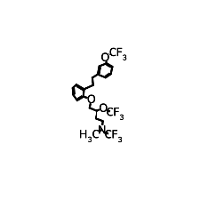 CN(CC[C@@H](COc1ccccc1CCc1cccc(OC(F)(F)F)c1)OC(F)(F)F)C(F)(F)F